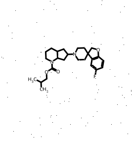 CC(C)COC(=O)N1CCCC2CC(N3CCC4(CC3)COc3ccc(F)cc34)CC21